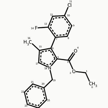 CCOC(=O)c1c(-c2ccc(Cl)cc2F)c(C)cn1Cc1ccccc1